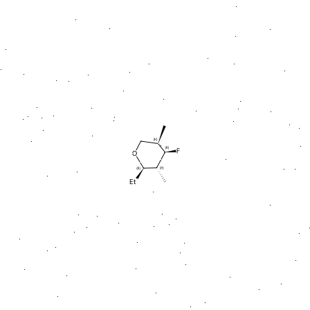 CC[C@H]1OC[C@@H](C)[C@@H](F)[C@@H]1C